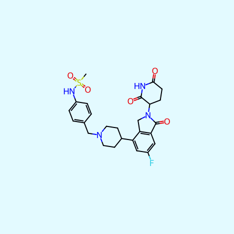 CS(=O)(=O)Nc1ccc(CN2CCC(c3cc(F)cc4c3CN(C3CCC(=O)NC3=O)C4=O)CC2)cc1